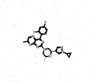 Cc1cnc2c(-c3ccc(F)cc3F)nc(N3C[C@@H](C)O[C@H](c4cnn(C5CC5)c4)C3)nc2n1